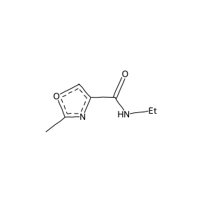 CCNC(=O)c1coc(C)n1